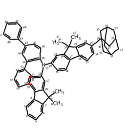 CC1(C)c2ccccc2-c2ccc(N(c3ccc4c(c3)C(C)(C)c3cc(C56CC7CC(CC(C7)C5)C6)ccc3-4)c3ccc(-c4ccccc4)cc3-c3ccccc3)cc21